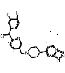 O=C(c1ccc(F)c(F)c1)c1ccc(CN2CCC(c3ccn4cnnc4c3)CC2)cn1